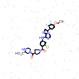 N#CCOc1ccc(-c2cnc3c(Nc4ccc(C(=O)N5CCC(C(=O)N6CCN[C@H](C(=O)O)C6)CC5)c(Cl)c4)nccn23)c(F)c1F